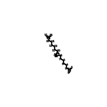 CN(C)CCCCCCOCCCCCCN(C)C.[K]